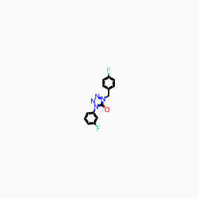 O=c1n(Cc2ccc(F)cc2)nnn1-c1cccc(F)c1